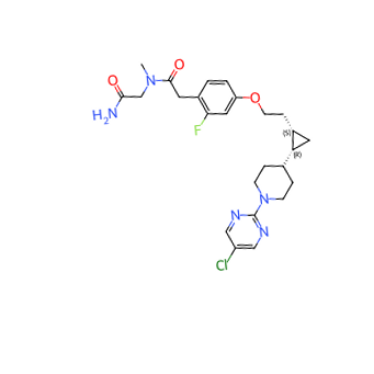 CN(CC(N)=O)C(=O)Cc1ccc(OCC[C@@H]2C[C@@H]2C2CCN(c3ncc(Cl)cn3)CC2)cc1F